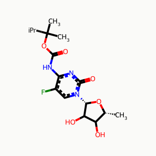 CC(C)C(C)(C)OC(=O)Nc1nc(=O)n([C@@H]2O[C@H](C)C(O)C2O)cc1F